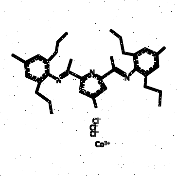 CCCc1cc(C)cc(CCC)c1N=C(C)c1cc(C)cc(C(C)=Nc2c(CCC)cc(C)cc2CCC)n1.[Cl-].[Cl-].[Cl-].[Co+3]